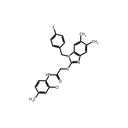 Cc1ccc(NC(=O)CSc2nc3cc(C)c(C)cc3n2Cc2ccc(F)cc2)c(Cl)c1